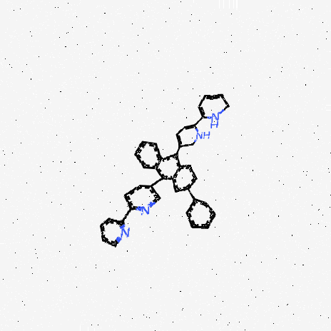 C1=CCNC(C2=CC=C(c3c4ccccc4c(-c4ccc(-c5ccccn5)nc4)c4cc(-c5ccccc5)ccc34)CN2)=C1